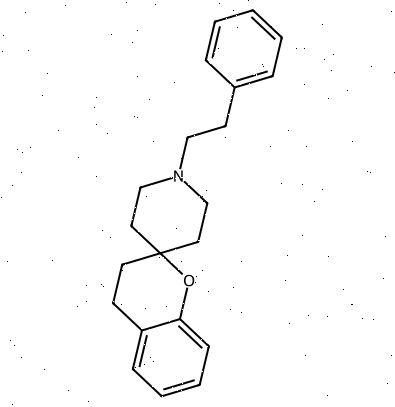 c1ccc(CCN2CCC3(CCc4ccccc4O3)CC2)cc1